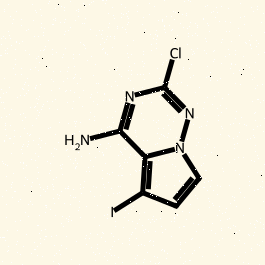 Nc1nc(Cl)nn2ccc(I)c12